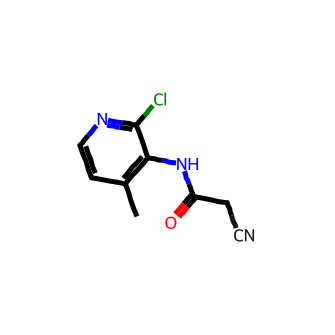 Cc1ccnc(Cl)c1NC(=O)CC#N